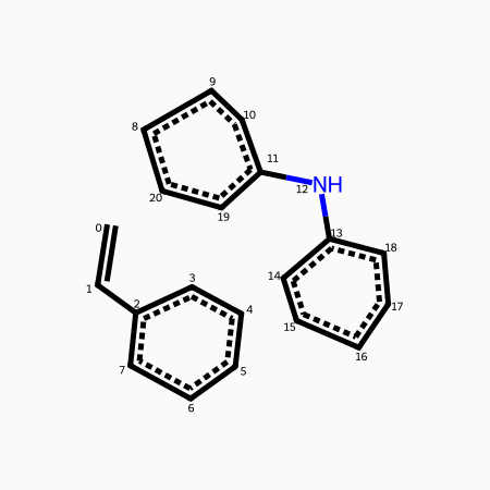 C=Cc1ccccc1.c1ccc(Nc2ccccc2)cc1